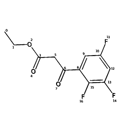 CCOC(=O)CC(=O)c1cc(F)cc(F)c1F